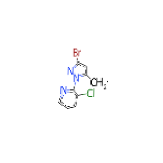 [CH2]c1cc(Br)nn1-c1ncccc1Cl